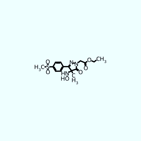 CCOC(=O)CN1N=C(c2ccc(S(C)(=O)=O)cc2)C(C)(NO)C1=O